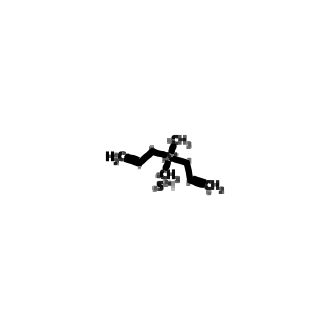 C=CC[N+](C)(C)CC=C.[S+2]